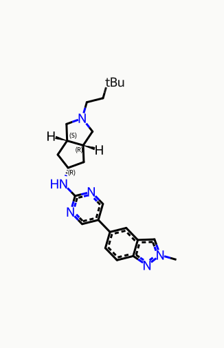 Cn1cc2cc(-c3cnc(N[C@@H]4C[C@@H]5CN(CCC(C)(C)C)C[C@@H]5C4)nc3)ccc2n1